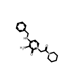 Nc1c(NCc2ccccc2)ccn(CC(=O)N2CCCCC2)c1=O